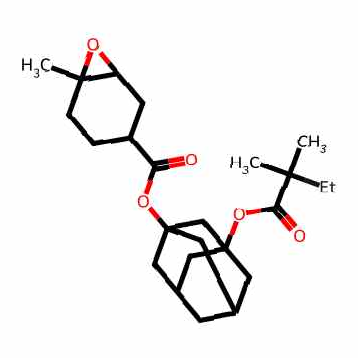 CCC(C)(C)C(=O)OC12CC3CC(CC(OC(=O)C4CCC5(C)OC5C4)(C3)C1)C2